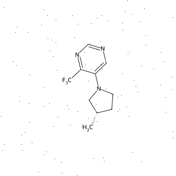 [CH2][C@H]1CCN(c2cncnc2C(F)(F)F)C1